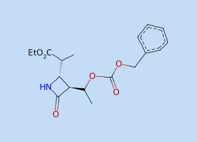 CCOC(=O)C(C)[C@H]1NC(=O)[C@@H]1C(C)OC(=O)OCc1ccccc1